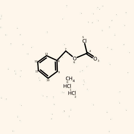 C.Cl.Cl.O=C(Cl)OCc1ccccc1